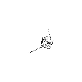 CCCCCCCCCCC(=O)OC1(c2ccccc2C(=O)OC(C)CCCCCCCC)C=CC(C(=O)O)C(F)(F)C1